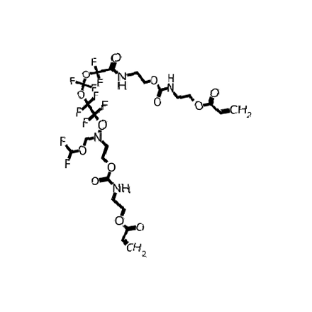 C=CC(=O)OCCNC(=O)OCCNC(=O)C(F)(F)OC(F)(F)OC(F)(F)C(F)(F)ON(CCOC(=O)NCCOC(=O)C=C)COC(F)F